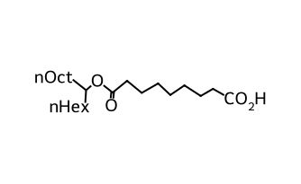 CCCCCCCCC(CCCCCC)OC(=O)CCCCCCCC(=O)O